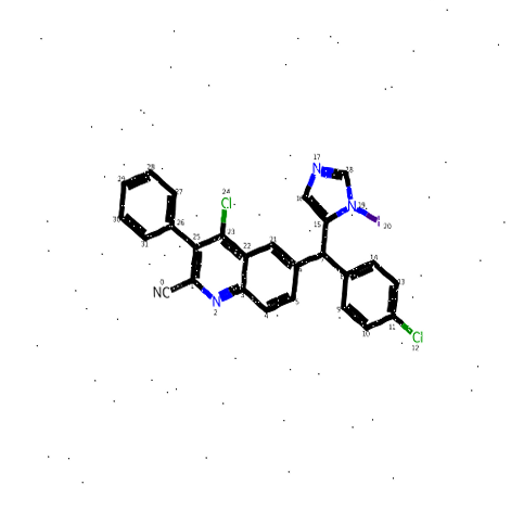 N#Cc1nc2ccc(C(c3ccc(Cl)cc3)c3cncn3I)cc2c(Cl)c1-c1ccccc1